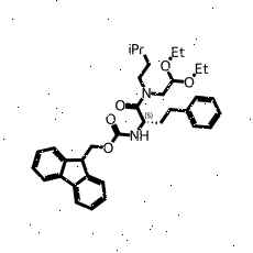 CCOC(CN(CCC(C)C)C(=O)[C@H](CCc1ccccc1)NC(=O)OCC1c2ccccc2-c2ccccc21)OCC